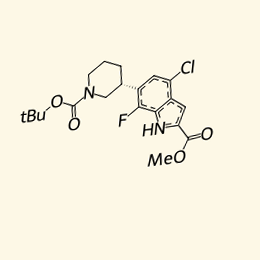 COC(=O)c1cc2c(Cl)cc([C@H]3CCCN(C(=O)OC(C)(C)C)C3)c(F)c2[nH]1